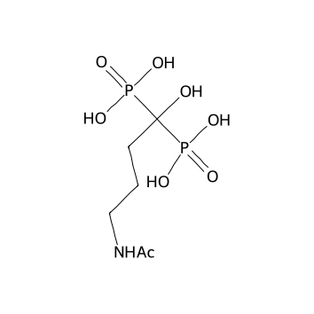 CC(=O)NCCCC(O)(P(=O)(O)O)P(=O)(O)O